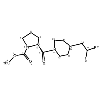 CC(C)(C)OC(=O)N1CCC[C@H]1C(=O)N1CCN(CC(F)F)CC1